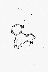 [CH2]c1nccn1-c1ncccc1Cl